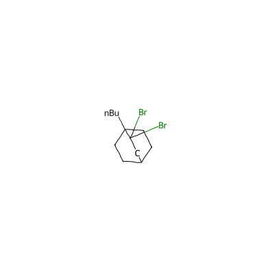 CCCCC12CCC(CC1)CC2(Br)Br